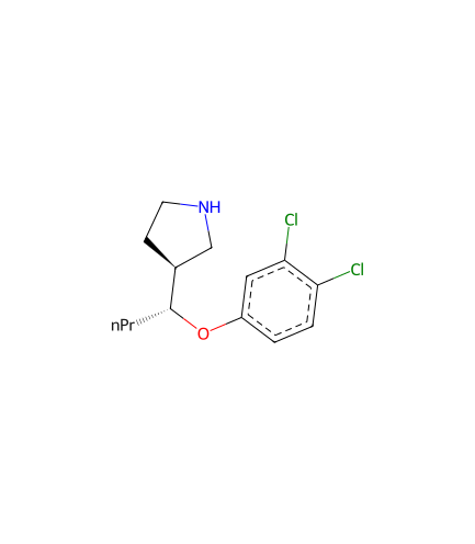 CCC[C@@H](Oc1ccc(Cl)c(Cl)c1)[C@H]1CCNC1